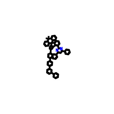 CC1(C)c2ccccc2C2(c3ccc(-c4ccc(-c5ccc(-c6cccc(-c7ccccc7)c6)cc5)cc4)cc3-c3c(-c4nc(-c5ccccc5)cc(-c5ccccc5)n4)cccc32)c2ccccc21